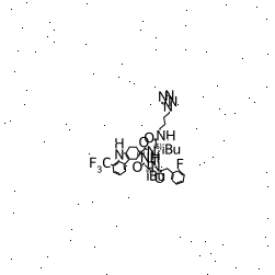 CCC(C)[C@H](NC(=O)Cc1ccccc1F)C(=O)N[C@]1(C(=O)N[C@H](C(=O)NCCCCn2cnnn2)C(C)CC)CCc2[nH]c3c(C(F)(F)F)cccc3c2C1